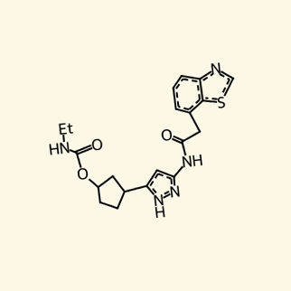 CCNC(=O)OC1CCC(c2cc(NC(=O)Cc3cccc4ncsc34)n[nH]2)C1